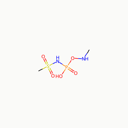 CNOP(=O)(O)NS(C)(=O)=O